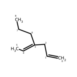 C=CCC(=CC)CCC